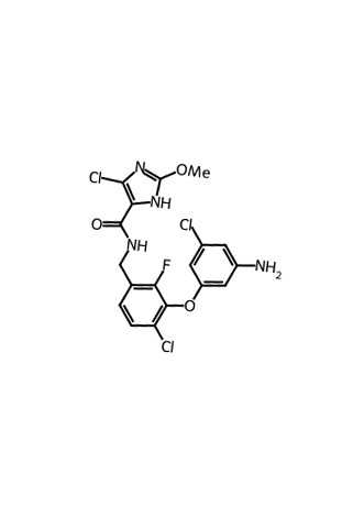 COc1nc(Cl)c(C(=O)NCc2ccc(Cl)c(Oc3cc(N)cc(Cl)c3)c2F)[nH]1